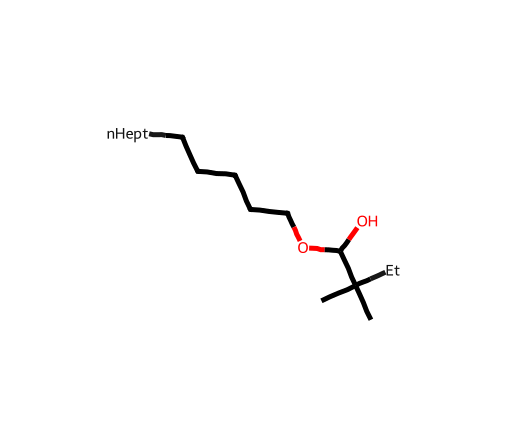 CCCCCCCCCCCCOC(O)C(C)(C)CC